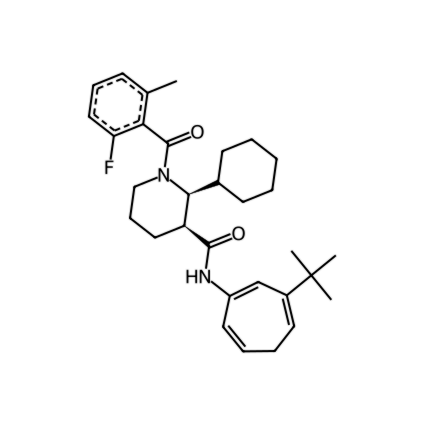 Cc1cccc(F)c1C(=O)N1CCC[C@H](C(=O)NC2=CC(C(C)(C)C)=CCC=C2)[C@@H]1C1CCCCC1